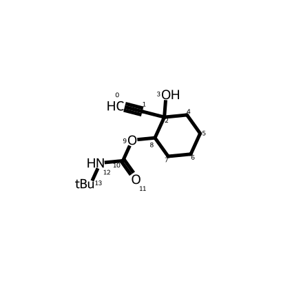 C#CC1(O)CCCCC1OC(=O)NC(C)(C)C